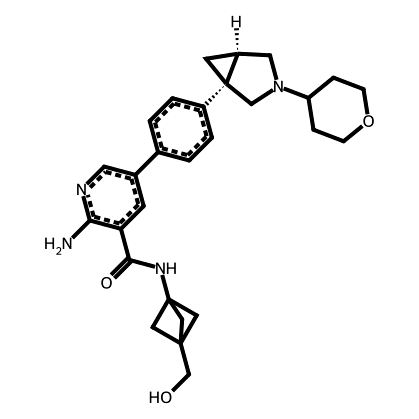 Nc1ncc(-c2ccc([C@]34C[C@H]3CN(C3CCOCC3)C4)cc2)cc1C(=O)NC12CC(CO)(C1)C2